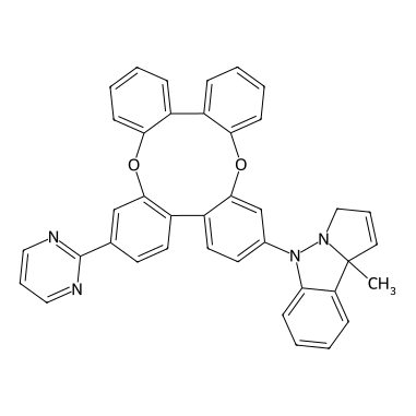 CC12C=CCN1N(c1ccc3c(c1)Oc1ccccc1-c1ccccc1Oc1cc(-c4ncccn4)ccc1-3)c1ccccc12